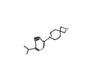 CC(C)c1ccc(N2CCC3(CC2)COC3)cc1